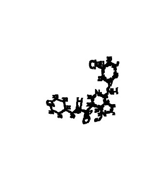 Cn1ccc2c(Nc3cccc(Cl)c3)ncc(C(=O)NCC3CCOCC3)c21